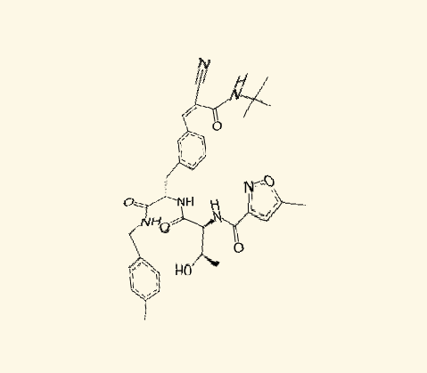 Cc1ccc(CNC(=O)[C@H](Cc2cccc(C=C(C#N)C(=O)NC(C)(C)C)c2)NC(=O)[C@@H](NC(=O)c2cc(C)on2)[C@@H](C)O)cc1